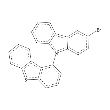 Brc1ccc2c(c1)c1ccccc1n2-c1cccc2sc3ccccc3c12